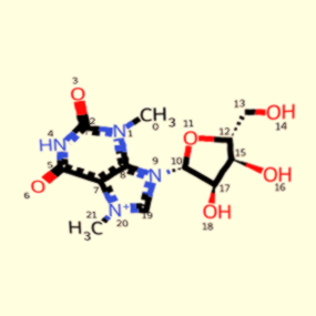 Cn1c(=O)[nH]c(=O)c2c1n([C@@H]1O[C@H](CO)[C@@H](O)[C@H]1O)c[n+]2C